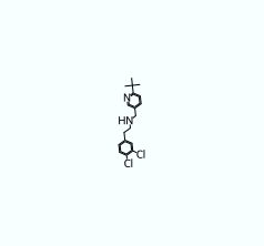 CC(C)(C)c1ccc(CNCCc2ccc(Cl)c(Cl)c2)cn1